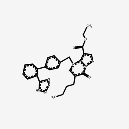 CCCCc1cn(Cc2ccc(-c3ccccc3-c3nnn[nH]3)cc2)c2c(C(=O)OCC)cnn2c1=O